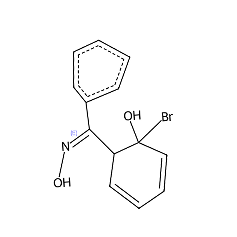 O/N=C(/c1ccccc1)C1C=CC=CC1(O)Br